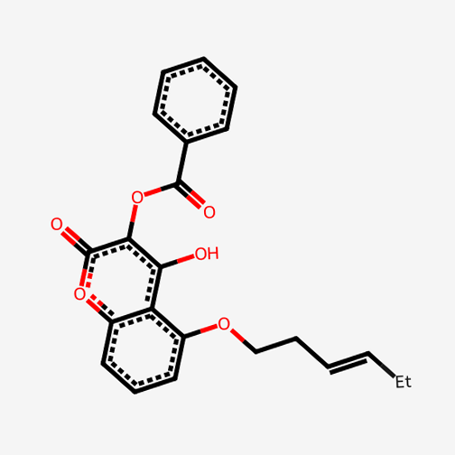 CCC=CCCOc1cccc2oc(=O)c(OC(=O)c3ccccc3)c(O)c12